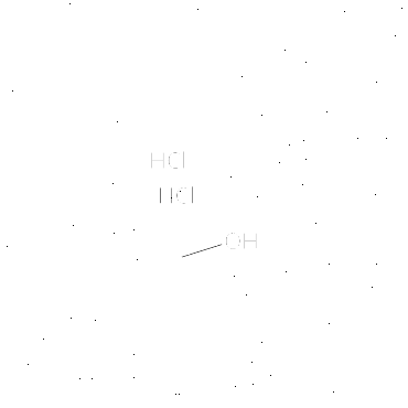 CO.Cl.Cl